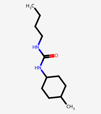 CCCCNC(=O)NC1CCC(C)CC1